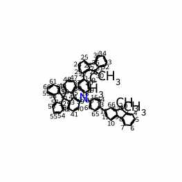 CC1(C)c2ccccc2-c2ccc(-c3ccc(N(c4ccc(-c5cccc6c5C(C)(C)c5ccccc5-6)cc4)c4cccc5c4-c4ccccc4C54c5ccccc5-c5ccccc54)cc3)cc21